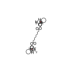 C[C@@]12CCCCC[C@@H](Cc3c(F)cc(OC(=O)CCCCCCCCC(=O)Oc4cc(F)c5c(c4)[C@@]4(C)CCCCC[C@@H](C5)[C@@H]4N)cc31)[C@@H]2N